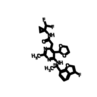 Cc1nc(CC(=O)NC2(C(F)F)CC2)c(C2OCCO2)c(N[C@H](C)c2cccc3c(F)coc23)n1